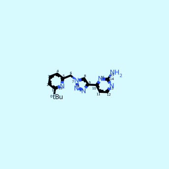 CC(C)(C)c1cccc(Cn2cc(-c3ccnc(N)n3)nn2)n1